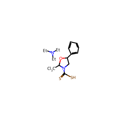 CCN(CC)CC.S=C(S)N1CC(c2ccccc2)OC1C(Cl)(Cl)Cl